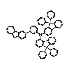 c1ccc(C2(c3ccccc3)c3ccccc3-c3ccc(N(c4cccc(-c5ccc6sc7ccccc7c6c5)c4)c4cccc5c4-c4ccccc4C5(c4ccccc4)c4ccccc4)cc32)cc1